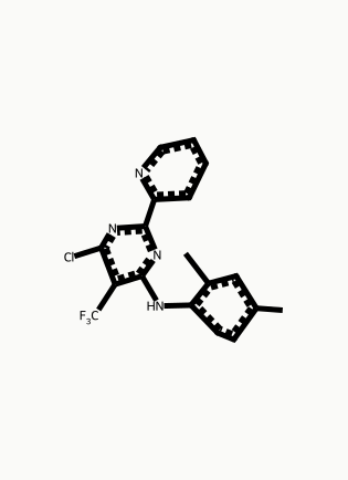 Cc1ccc(Nc2nc(-c3ccccn3)nc(Cl)c2C(F)(F)F)c(C)c1